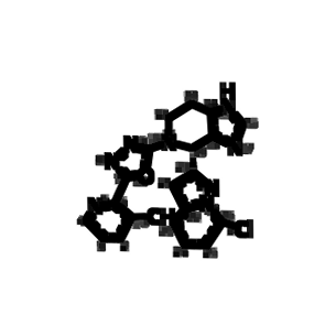 Cc1cccnc1-c1nnc(N2CCc3[nH]cnc3[C@@H]2c2cc3cccc(Cl)n3n2)o1